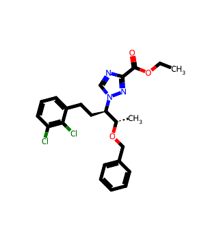 CCOC(=O)c1ncn([C@H](CCc2cccc(Cl)c2Cl)[C@H](C)OCc2ccccc2)n1